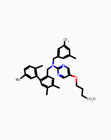 CCC(C)c1ccc(C)c(-c2cc(C)c(C)cc2CN(Cc2cc(C)cc(C(F)(F)F)c2)c2ncc(OCCCC(=O)O)cn2)c1